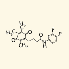 CC1=C(C)C(=O)C(CCCC(=O)Nc2ccc(F)c(F)c2)=C(C)C1=O